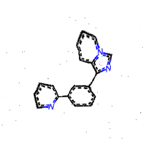 c1ccc(-c2cccc(-c3ncn4ccccc34)c2)nc1